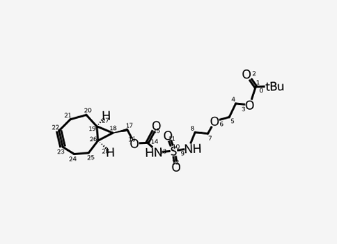 CC(C)(C)C(=O)OCCOCCNS(=O)(=O)NC(=O)OC[C@@H]1[C@@H]2CCC#CCC[C@@H]21